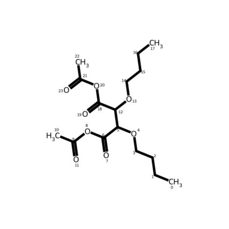 CCCCOC(C(=O)OC(C)=O)C(OCCCC)C(=O)OC(C)=O